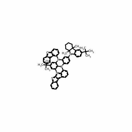 CC(C)(C)c1cc2c3c(c1)-n1c4sc5ccccc5c4c4cccc(c41)B3c1ccc(N3c4ccc(C(C)(C)C)cc4C4(C)CCCCC34C)cc1N2c1cccc2oc3ccccc3c12